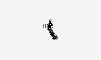 Fc1ccc2c3c([nH]c2c1)CCC(CCN1CC=C(c2ccccc2)CC1)C3